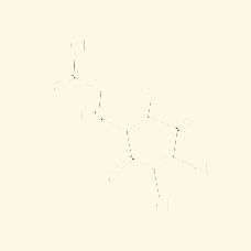 O=C(O)CNC1=C(Cl)C(=O)C(Cl)=C(Cl)C1=O